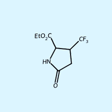 CCOC(=O)C1NC(=O)CC1C(F)(F)F